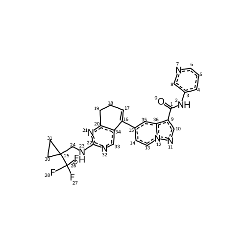 O=C(Nc1cccnc1)c1cnn2ccc(C3=CCCc4nc(NCC5(C(F)(F)F)CC5)ncc43)cc12